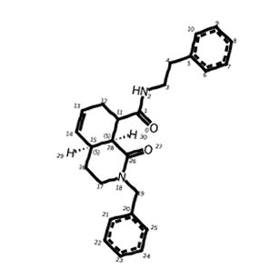 O=C(NCCc1ccccc1)C1CC=C[C@@H]2CCN(Cc3ccccc3)C(=O)[C@H]12